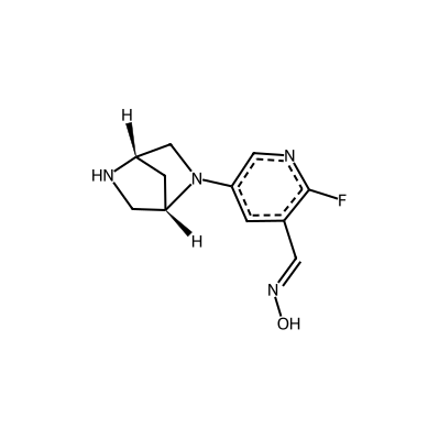 ON=Cc1cc(N2C[C@@H]3C[C@H]2CN3)cnc1F